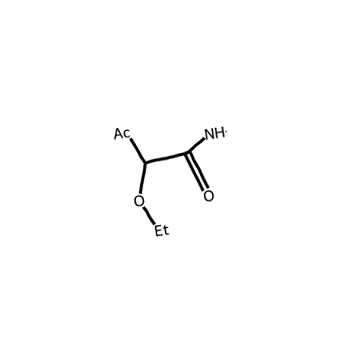 CCOC(C(C)=O)C([NH])=O